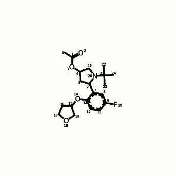 CC(=O)OC1CC(c2cc(F)ccc2OC2CCOC2)N(C(C)(C)C)C1